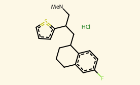 CNCC(CC1CCCc2cc(F)ccc21)c1cccs1.Cl